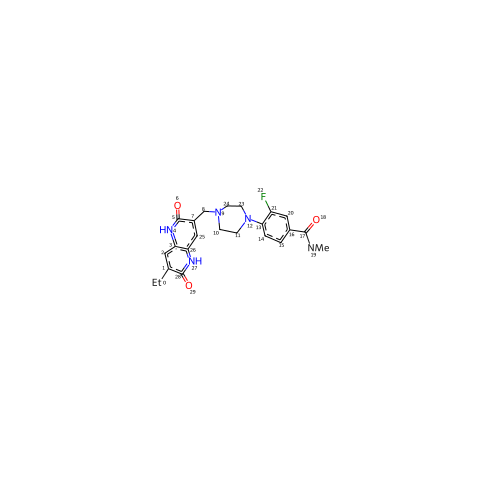 CCc1cc2[nH]c(=O)c(CN3CCN(c4ccc(C(=O)NC)cc4F)CC3)cc2[nH]c1=O